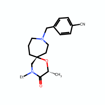 CCN1C[C@]2(CCCN(Cc3ccc(C#N)cc3)CC2)O[C@H](C)C1=O